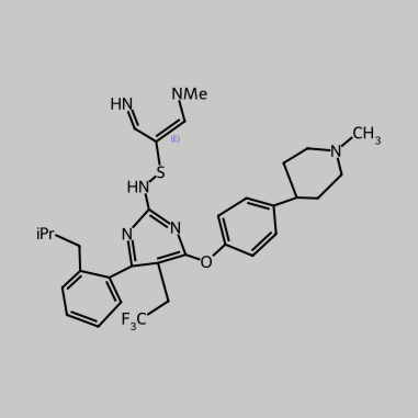 CN/C=C(\C=N)SNc1nc(Oc2ccc(C3CCN(C)CC3)cc2)c(CC(F)(F)F)c(-c2ccccc2CC(C)C)n1